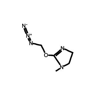 CN1CCN=C1OCN=[N+]=[N-]